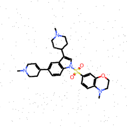 CN1CC=C(c2ccc3c(c2)c(C2CCN(C)CC2)cn3S(=O)(=O)c2ccc3c(c2)OCCN3C)CC1